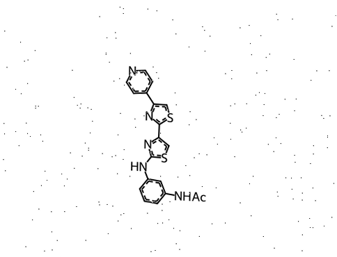 CC(=O)Nc1cccc(Nc2nc(-c3nc(-c4ccncc4)cs3)cs2)c1